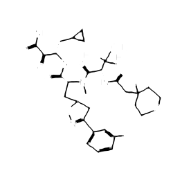 CC1(CC(=O)N[C@H](C(=O)N2C[C@@]3(CC(c4cccc(Cl)c4)=NO3)C[C@H]2C(=O)N[C@@H](CC2CC2)C(=O)C(N)=O)C(C)(C)C)CCOCC1